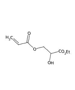 C=CC(=O)OCC(O)C(=O)OCC